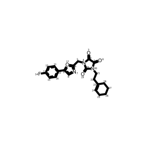 O=C1C(=O)N(Cc2ncc(-c3ccc(F)cc3)o2)C(=O)N1CCC1=CCCCC1